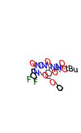 CC(C(=O)NC(C(=O)N1CCN(C(=O)c2cc3cc(F)c(F)cc3n2CCOCCOCc2ccccc2)CC1)C1CCCCC1)N(C)C(=O)OC(C)(C)C